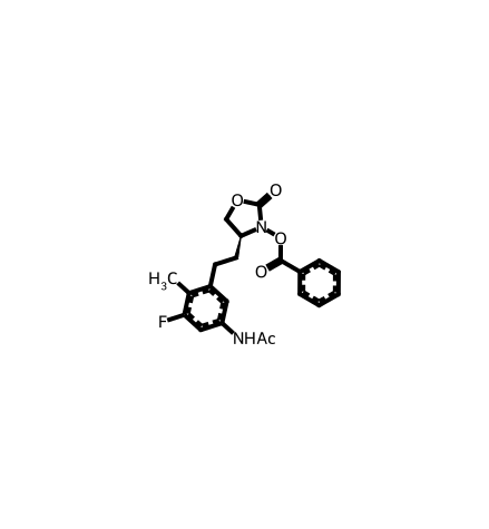 CC(=O)Nc1cc(F)c(C)c(CC[C@H]2COC(=O)N2OC(=O)c2ccccc2)c1